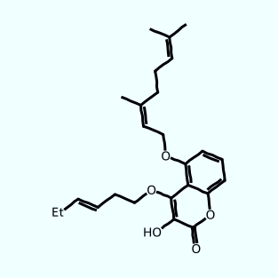 CCC=CCCOc1c(O)c(=O)oc2cccc(OCC=C(C)CCC=C(C)C)c12